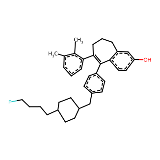 Cc1cccc(C2=C(c3ccc(CC4CCC(CCCCF)CC4)cc3)c3ccc(O)cc3CCC2)c1C